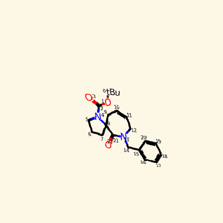 CC(C)(C)OC(=O)N1CCCC12CC=CCN(Cc1ccccc1)C2=O